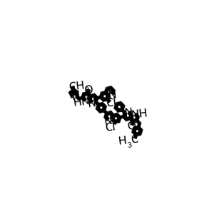 Cc1ccc(Cc2c[nH]c3nc(-c4ccccc4)c(-c4cc(Cl)c5ncc(-c6ccc(-c7nc8[nH]c(Cn9ccc(C)c9)cc(=O)c8cc7-c7cc(Cl)c8ncccc8c7)cc6)cc5c4)cc3c2=O)cc1